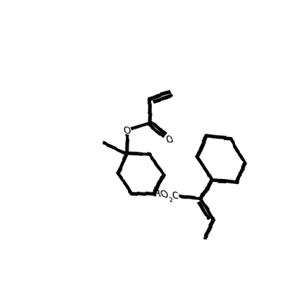 C=CC(=O)OC1(C)CCCCC1.CC=C(C(=O)O)C1CCCCC1